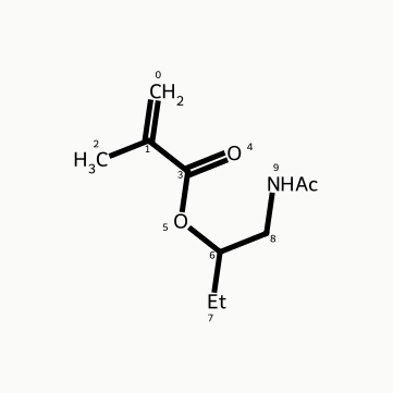 C=C(C)C(=O)OC(CC)CNC(C)=O